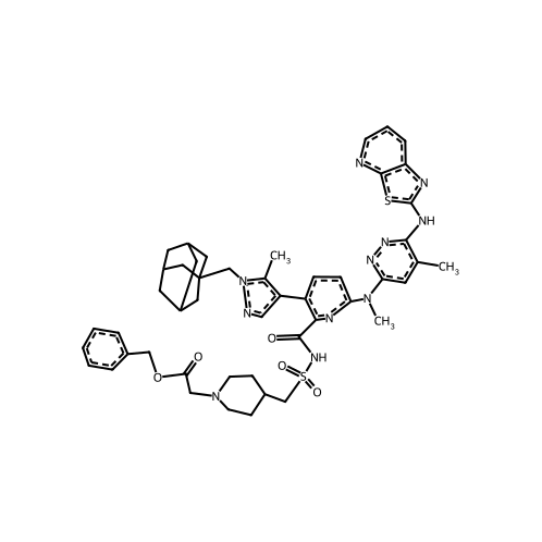 Cc1cc(N(C)c2ccc(-c3cnn(CC45CC6CC(CC(C6)C4)C5)c3C)c(C(=O)NS(=O)(=O)CC3CCN(CC(=O)OCc4ccccc4)CC3)n2)nnc1Nc1nc2cccnc2s1